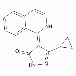 O=C1NN=C(C2CC2)C1=C1NC=Cc2ccccc21